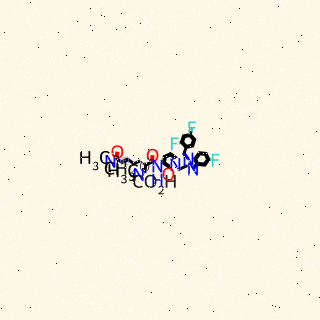 CN(C)C(=O)/C=C/CC[C@@H](CN(C)C(=O)O)C(=O)Nc1cccn(Cc2nc3cc(F)ccc3n2Cc2ccc(F)cc2F)c1=O